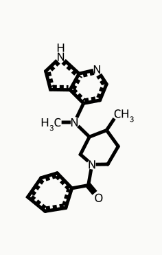 CC1CCN(C(=O)c2ccccc2)CC1N(C)c1ccnc2[nH]ccc12